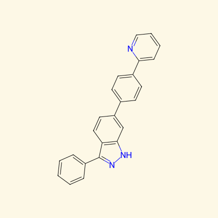 c1ccc(-c2n[nH]c3cc(-c4ccc(-c5ccccn5)cc4)ccc23)cc1